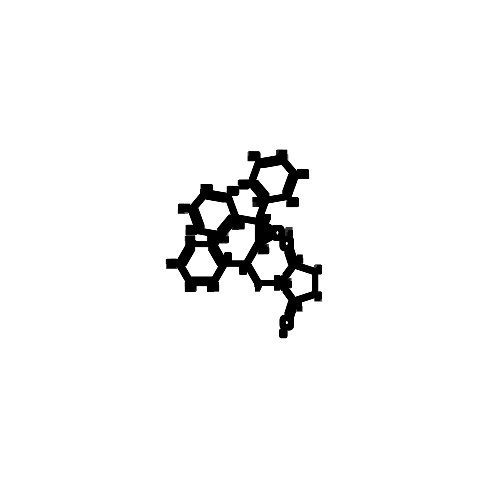 O=C1CCC(=O)N1CC(c1ccccc1)C1OC1(c1ccccc1)c1ccccc1